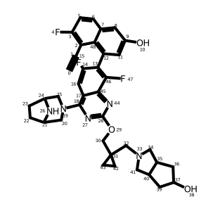 C#Cc1c(F)ccc2cc(O)cc(-c3c(F)cc4c(N5CC6CCC(C5)N6)nc(OCC5(CN6CC7CC(O)CC7C6)CC5)nc4c3F)c12